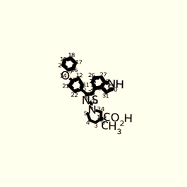 CC1(C(=O)O)CCCN(c2nc(-c3ccc(Oc4ccccc4)cc3)c(-c3cccc4[nH]ccc34)s2)C1